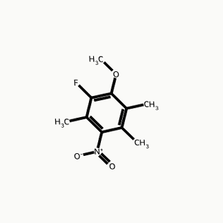 COc1c(C)c(C)c([N+](=O)[O-])c(C)c1F